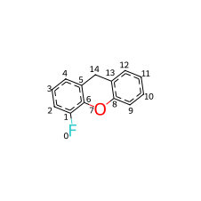 Fc1cccc2c1Oc1ccccc1C2